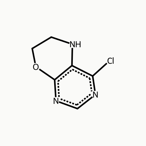 Clc1ncnc2c1NCCO2